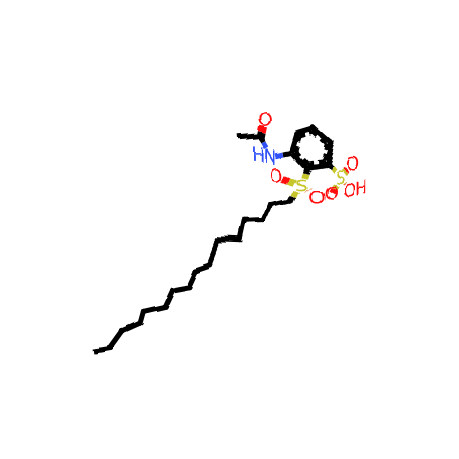 CCCCCCCCCCCCCCCCS(=O)(=O)c1c(NC(C)=O)cccc1S(=O)(=O)O